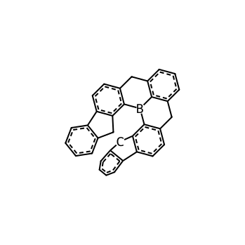 c1ccc2c(c1)Cc1c-2ccc2c1B1c3c(cccc3Cc3ccc4c(c31)Cc1ccccc1-4)C2